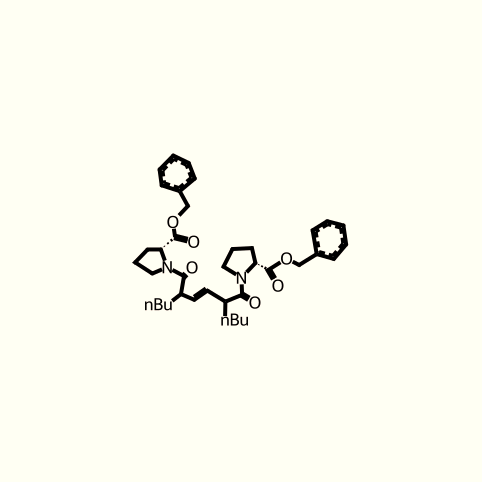 CCCCC(C=CC(CCCC)C(=O)N1CCC[C@@H]1C(=O)OCc1ccccc1)C(=O)N1CCC[C@@H]1C(=O)OCc1ccccc1